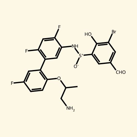 CC(CN)Oc1ccc(F)cc1-c1cc(N[S+]([O-])c2cc(C=O)cc(Br)c2O)c(F)cc1F